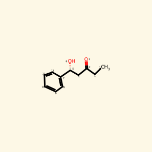 CCC(=O)C[C@@H](O)c1ccccc1